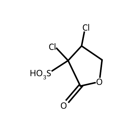 O=C1OCC(Cl)C1(Cl)S(=O)(=O)O